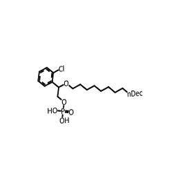 CCCCCCCCCCCCCCCCCCOC(COP(=O)(O)O)c1ccccc1Cl